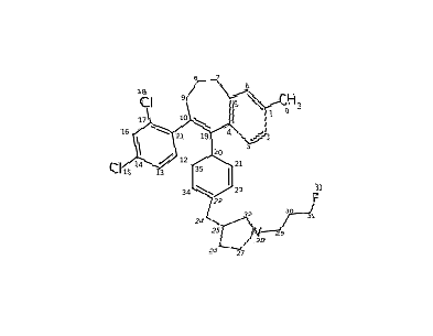 Cc1ccc2c(c1)CCCC(c1ccc(Cl)cc1Cl)=C2C1C=CC(CC2CCN(CCCF)C2)=CC1